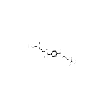 O=C(O)OCCOC(=O)c1ccc(C(=O)OCCOC(=O)O)cc1